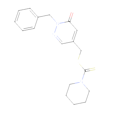 O=c1cc(CSC(=S)N2CCCCC2)cnn1Cc1ccccc1